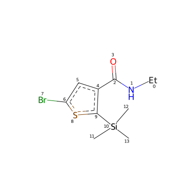 CCNC(=O)c1cc(Br)sc1[Si](C)(C)C